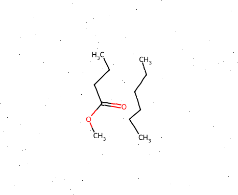 CCCC(=O)OC.CCCCCC